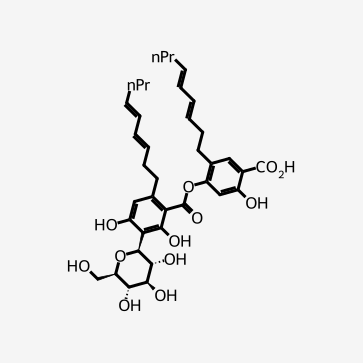 CCC/C=C/C=C/CCc1cc(C(=O)O)c(O)cc1OC(=O)c1c(CC/C=C/C=C/CCC)cc(O)c([C@@H]2O[C@H](CO)[C@@H](O)[C@H](O)[C@H]2O)c1O